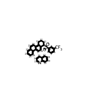 O=S(=O)(c1cccc(C(F)(F)F)c1)[C@@H]1CCCc2c1ccc1c2ccc2ccccc21.c1ccc2ncccc2c1